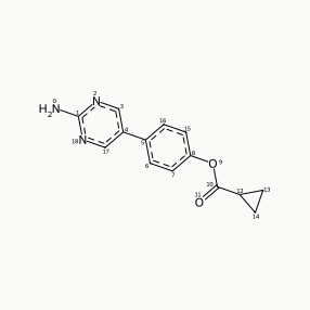 Nc1ncc(-c2ccc(OC(=O)C3CC3)cc2)cn1